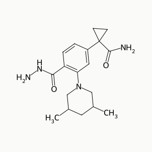 CC1CC(C)CN(c2cc(C3(C(N)=O)CC3)ccc2C(=O)NN)C1